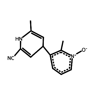 CC1=CC(c2ccc[n+]([O-])c2C)C=C(C#N)N1